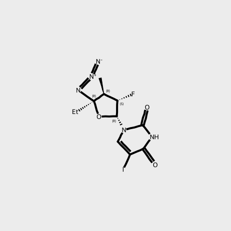 CC[C@@]1(N=[N+]=[N-])O[C@@H](n2cc(I)c(=O)[nH]c2=O)[C@@H](F)[C@@H]1C